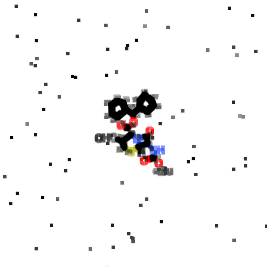 CC(C)(C)OC(=O)N[C@@H]1C(=O)N2[C@@H](C(=O)OC(c3ccccc3)c3ccccc3)C(C=O)=CS[C@H]12